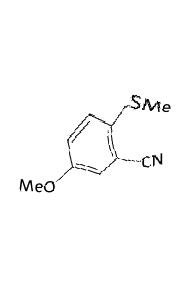 COc1ccc(SC)c(C#N)c1